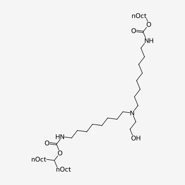 CCCCCCCCOC(=O)NCCCCCCCCN(CCO)CCCCCCCCNC(=O)OC(CCCCCCCC)CCCCCCCC